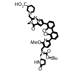 COc1nc(-c2cccc(-c3cccc(-c4cc5c(=O)n(C)c(CN6CCC[C@H](C(=O)O)C6)nn5c4)c3Cl)c2Cl)ccc1CN(C[C@@H]1CCC(=O)N1)C(=O)OC(C)(C)C